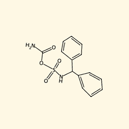 NC(=O)OS(=O)(=O)NC(c1ccccc1)c1ccccc1